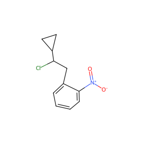 O=[N+]([O-])c1ccccc1CC(Cl)C1CC1